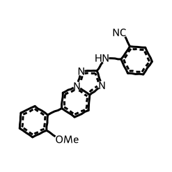 COc1ccccc1-c1ccc2nc(Nc3ccccc3C#N)nn2c1